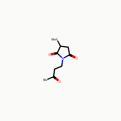 CCC(C)C(=O)CCN1C(=O)CC(SC)C1=O